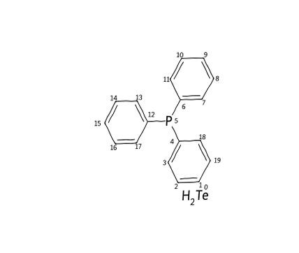 [TeH2].c1ccc(P(c2ccccc2)c2ccccc2)cc1